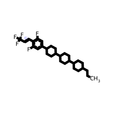 CCCC1CCC(C2CCC(C3CCC(c4cc(F)c(/C=C/C(F)(F)F)c(F)c4)CC3)CC2)CC1